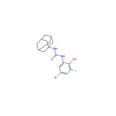 O=C(Nc1cc(Br)cc(F)c1O)NC12CC3CC(CC(C3)C1)C2